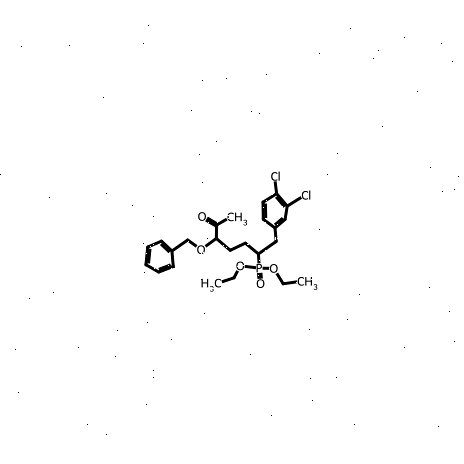 CCOP(=O)(OCC)C(CCC(OCc1ccccc1)C(C)=O)Cc1ccc(Cl)c(Cl)c1